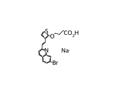 O=C(O)CCCOc1sccc1C=Cc1ccc2ccc(Br)cc2n1.[Na]